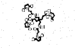 O=C(CCN1C(=O)C=CC1=O)NCCC(CCNC(=O)CCN1C(=O)C=CC1=O)(CCC(=O)ON1C(=O)CCC1=O)CCC(=O)ON1C(=O)CCC1=O